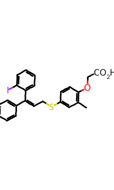 Cc1cc(SCC=C(c2ccccc2)c2ccccc2I)ccc1OCC(=O)O